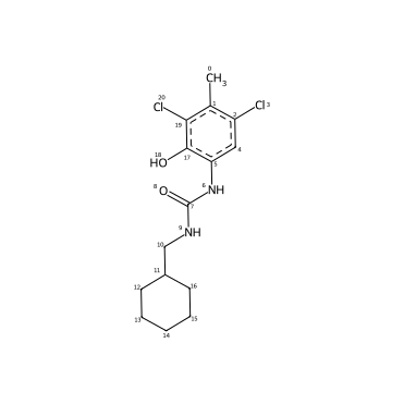 Cc1c(Cl)cc(NC(=O)NCC2CCCCC2)c(O)c1Cl